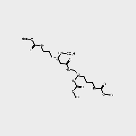 CC(C)(C)OC(=O)NCCC[C@@H](CC(=O)NC[C@H](CCCNC(=O)OC(C)(C)C)NC(=O)OC(C)(C)C)NC(=O)O